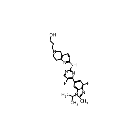 Cc1nc2c(F)cc(-c3nc(Nc4ccc5c(n4)CCN(CCCO)C5)ncc3F)cc2n1C(C)C